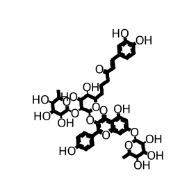 CC1O[C@@H](Oc2cc(O)c3c(=O)c(O[C@@H]4OC(CCCC(=O)/C=C/c5ccc(O)c(O)c5)[C@@H](O)C(O)[C@@H]4O[C@@H]4OC(C)[C@H](O)C(O)[C@@H]4O)c(-c4ccc(O)cc4)oc3c2)[C@@H](O)C(O)[C@H]1O